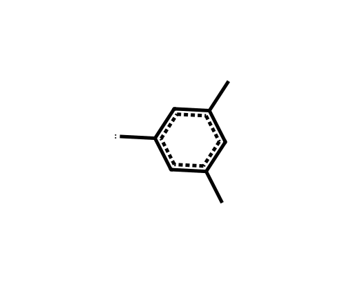 [CH]c1cc(C)cc(C)c1